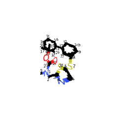 CN(Cc1ncc(Sc2cccc(-c3ccccc3)c2)s1)C(=O)OC(C)(C)C